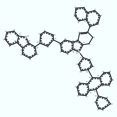 C1=C(c2cccc3ccccc23)CCc2c1c1cc(-c3cccc(-c4cccc5c4oc4ccccc45)c3)ccc1n2-c1ccc(-c2c3ccccc3c(-c3ccccc3)c3ccccc23)cc1